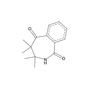 CC1(C)NC(=O)c2ccccc2C(=O)C1(C)C